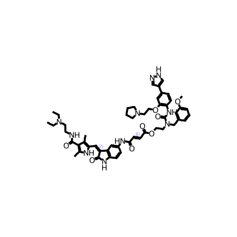 CCN(CC)CCNC(=O)c1c(C)[nH]c(/C=C2\C(=O)Nc3ccc(NC(=O)/C=C/C(=O)OCCN(Cc4cccc(OC)c4)C(=O)Nc4ccc(-c5cn[nH]c5)cc4OCCN4CCCC4)cc32)c1C